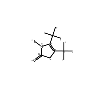 CC(C)(C)C1=C(C(C)(C)C)N(I)C(=O)C1